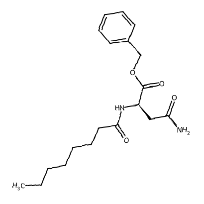 CCCCCCCC(=O)N[C@H](CC(N)=O)C(=O)OCc1ccccc1